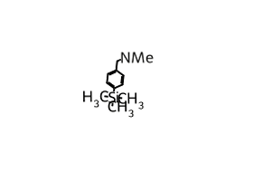 CNCc1ccc([Si](C)(C)C)cc1